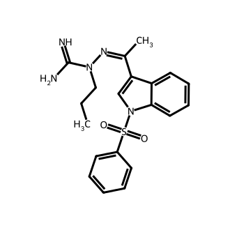 CCCN(/N=C(/C)c1cn(S(=O)(=O)c2ccccc2)c2ccccc12)C(=N)N